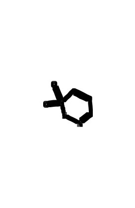 O=S1(=O)C=CC=NS1